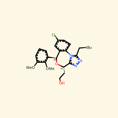 COc1cccc([C@@H]2O[C@@H](CCO)c3nnc(CC(C)(C)C)n3-c3ccc(Cl)cc32)c1OC